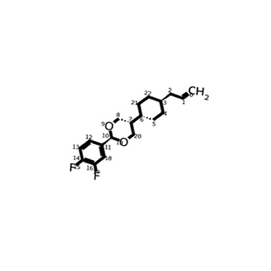 C=CC[C@H]1CC[C@H]([C@H]2CO[C@H](c3ccc(F)c(F)c3)OC2)CC1